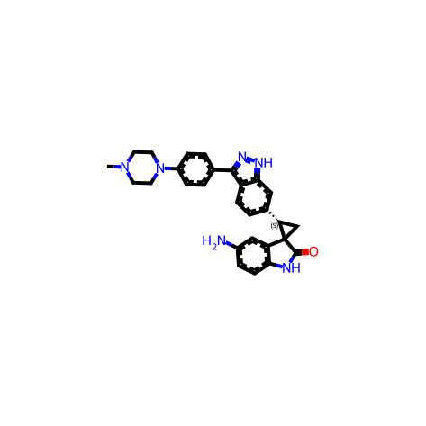 CN1CCN(c2ccc(-c3n[nH]c4cc([C@@H]5CC56C(=O)Nc5ccc(N)cc56)ccc34)cc2)CC1